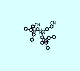 N#Cc1cccc(-c2ccc(-c3nc(-c4ccc(-c5ccccc5C#N)c(-n5c6ccc(-c7ccccc7)cc6c6cc(-c7ccccc7)ccc65)c4)nc(-c4ccc(-c5ccccc5C#N)c(-n5c6ccc(-c7ccccc7)cc6c6cc(-c7ccccc7)ccc65)c4)n3)cc2)c1